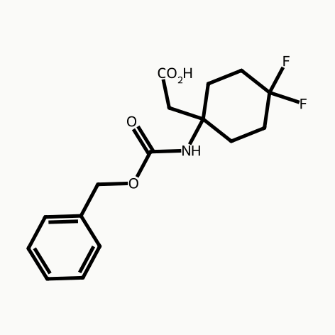 O=C(O)CC1(NC(=O)OCc2ccccc2)CCC(F)(F)CC1